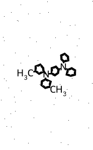 Cc1cccc(N(c2ccc(N(c3ccccc3)c3ccccc3)cc2)c2cccc(C)c2)c1